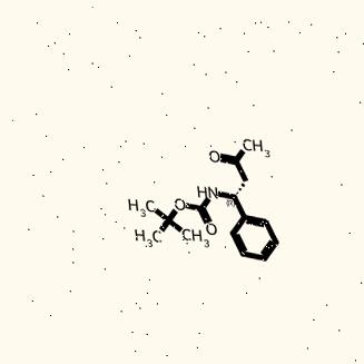 CC(=O)C[C@@H](NC(=O)OC(C)(C)C)c1ccccc1